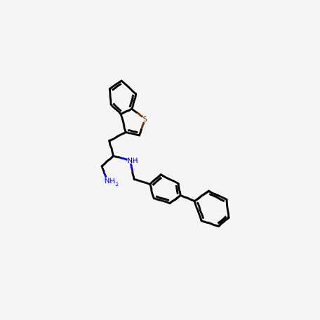 NCC(Cc1csc2ccccc12)NCc1ccc(-c2ccccc2)cc1